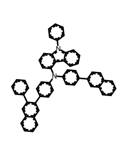 c1ccc(-c2cc3ccccc3cc2-c2ccc(N(c3ccc(-c4ccc5ccccc5c4)cc3)c3cccc4c3c3ccccc3n4-c3ccccc3)cc2)cc1